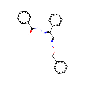 O=C(NN=C(C=NOCc1ccccc1)c1ccccc1)c1ccccc1